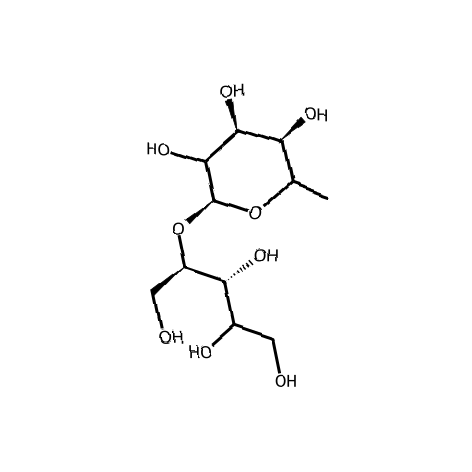 CC1O[C@@H](O[C@H](CO)[C@H](O)C(O)CO)C(O)[C@@H](O)[C@H]1O